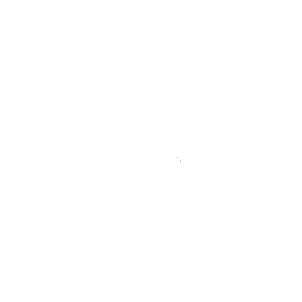 O=C(CCC(F)(F)F)N1CCC(c2c(F)cc(F)cc2F)CC1